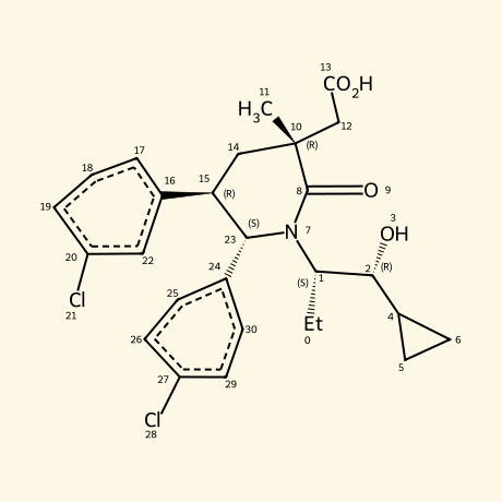 CC[C@@H]([C@H](O)C1CC1)N1C(=O)[C@@](C)(CC(=O)O)C[C@H](c2cccc(Cl)c2)[C@H]1c1ccc(Cl)cc1